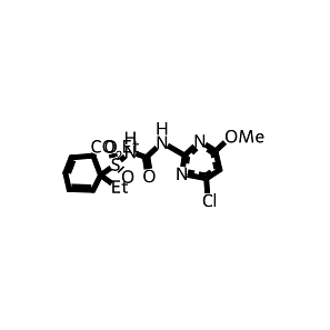 CCOC(=O)C1C=CC=CC1(CC)S(=O)(=O)NC(=O)Nc1nc(Cl)cc(OC)n1